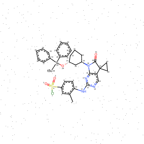 Cc1cc(S(=O)(=O)Cl)ccc1Nc1ncc2c(n1)N([C@@H]1CCC[C@@H](O[Si](c3ccccc3)(c3ccccc3)C(C)(C)C)C1)C(=O)C21CC1